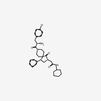 N[C@H](Cc1ccc(Cl)cc1)C(=O)N1CCC2(CC1)C(=O)N(CC(=O)NC1CCCCC1)CN2c1ccccc1